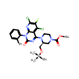 CC(C)c1ccccc1-n1c(=O)nc(N2CCN(C(=O)OC(C)(C)C)C[C@H]2CO[Si](C)(C)C(C)(C)C)c2c(Cl)c(F)c(Cl)nc21